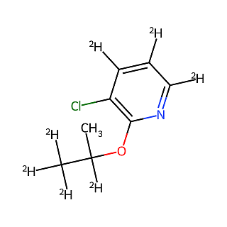 [2H]c1nc(OC([2H])(C)C([2H])([2H])[2H])c(Cl)c([2H])c1[2H]